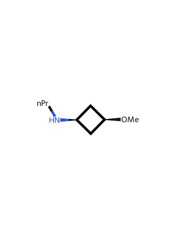 CCCN[C@H]1C[C@@H](OC)C1